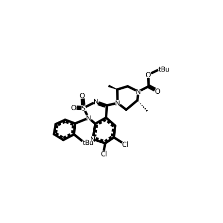 C[C@@H]1CN(C2=NS(=O)(=O)N(c3ccccc3C(C)(C)C)c3nc(Cl)c(Cl)cc32)[C@@H](C)CN1C(=O)OC(C)(C)C